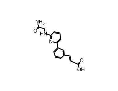 NC(=O)CNc1cccc(-c2cccc(C=CC(=O)O)c2)n1